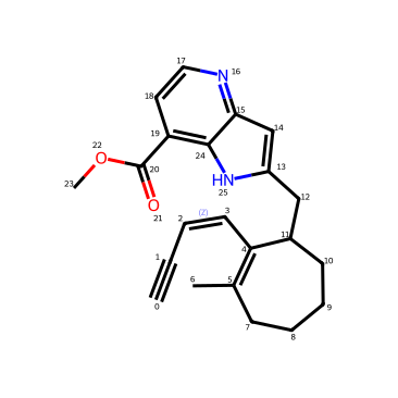 C#C/C=C\C1=C(C)CCCCC1Cc1cc2nccc(C(=O)OC)c2[nH]1